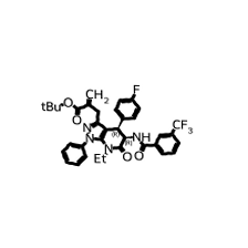 C=C(Cc1nn(-c2ccccc2)c2c1[C@@H](c1ccc(F)cc1)[C@@H](NC(=O)c1cccc(C(F)(F)F)c1)C(=O)N2CC)C(=O)OC(C)(C)C